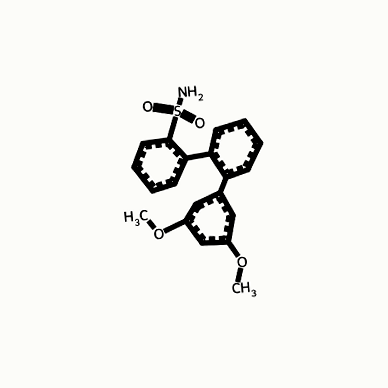 COc1cc(OC)cc(-c2ccccc2-c2ccccc2S(N)(=O)=O)c1